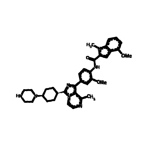 COc1cc(-c2nc([C@H]3CC[C@H](N4CCNCC4)CC3)n3ccnc(C)c23)ccc1NC(=O)c1cc2c(OC)cccc2n1C